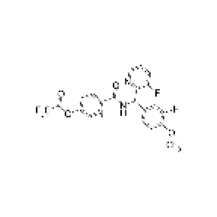 O=C(NC(c1ccc(OC(F)(F)F)c(F)c1)c1ncccc1F)c1ccc(OC(=O)C(F)(F)F)cn1